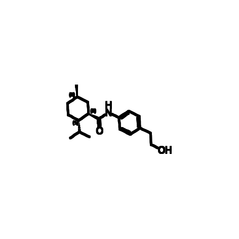 CC(C)[C@@H]1CC[C@@H](C)C[C@H]1C(=O)Nc1ccc(CCO)cc1